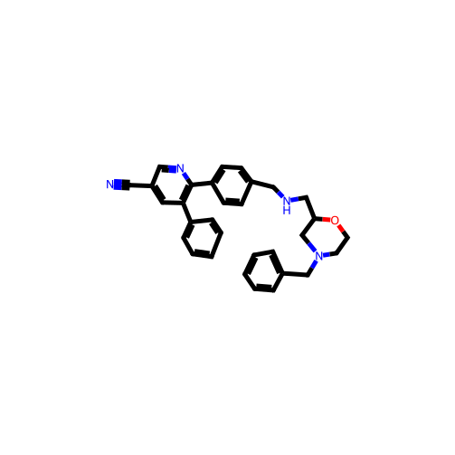 N#Cc1cnc(-c2ccc(CNCC3CN(Cc4ccccc4)CCO3)cc2)c(-c2ccccc2)c1